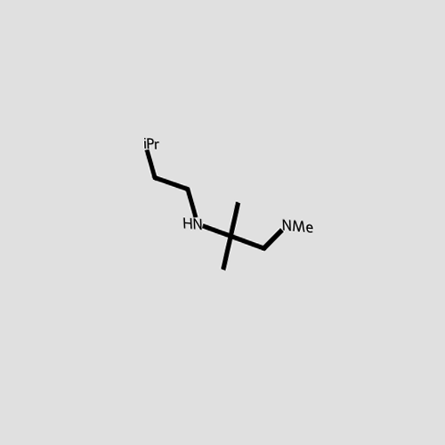 CNCC(C)(C)NCCC(C)C